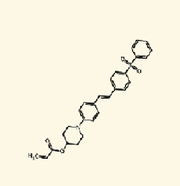 C=CC(=O)OC1CCN(c2ccc(C=Cc3ccc(S(=O)(=O)c4ccccc4)cc3)cc2)CC1